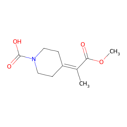 COC(=O)C(C)=C1CCN(C(=O)O)CC1